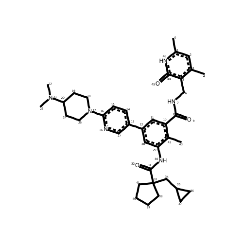 Cc1cc(C)c(CNC(=O)c2cc(-c3ccc(N4CCC(N(C)C)CC4)nc3)cc(NC(=O)C3(CC4CC4)CCCC3)c2C)c(=O)[nH]1